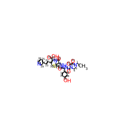 CCN1CCN(C(=O)NC(C(=O)NC2C(=O)N3C(C(=O)O)=C(/C=C/c4cccnc4)CS[C@H]23)c2ccc(O)cc2)C(=O)C1=O